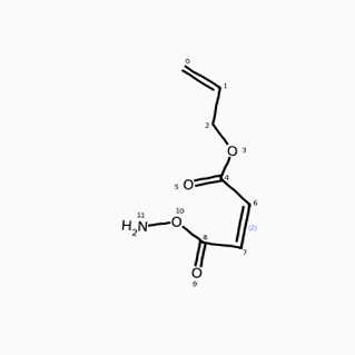 C=CCOC(=O)/C=C\C(=O)ON